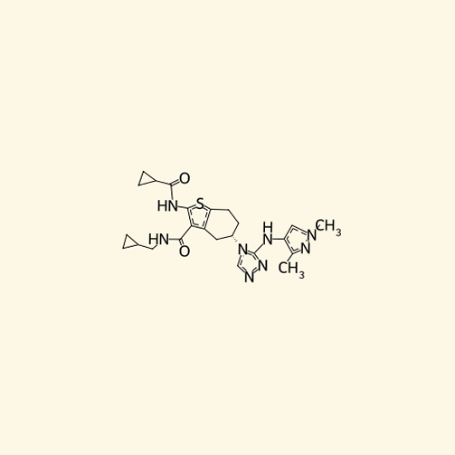 Cc1nn(C)cc1Nc1nncn1[C@H]1CCc2sc(NC(=O)C3CC3)c(C(=O)NCC3CC3)c2C1